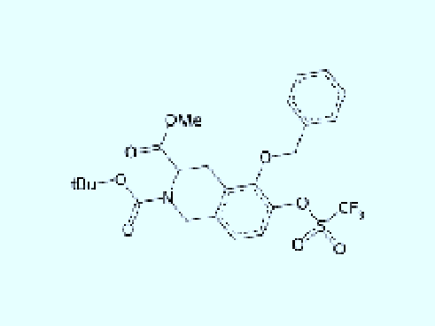 COC(=O)C1Cc2c(ccc(OS(=O)(=O)C(F)(F)F)c2OCc2ccccc2)CN1C(=O)OC(C)(C)C